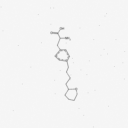 NC(Cc1ccc(CCCCC2CCCCO2)cc1)C(=O)O